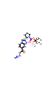 CC(C)(C)OC(=O)N1CCC[C@H]1c1nc2ccc(C(=O)CN=[N+]=[N-])cc2[nH]1